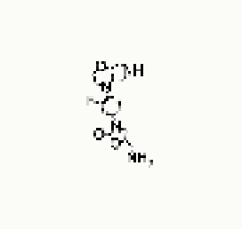 NCC1CN(c2ccc(N3CCOC4CNCC43)c(F)c2)C(=O)O1